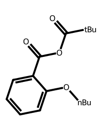 CCCCOc1ccccc1C(=O)OC(=O)C(C)(C)C